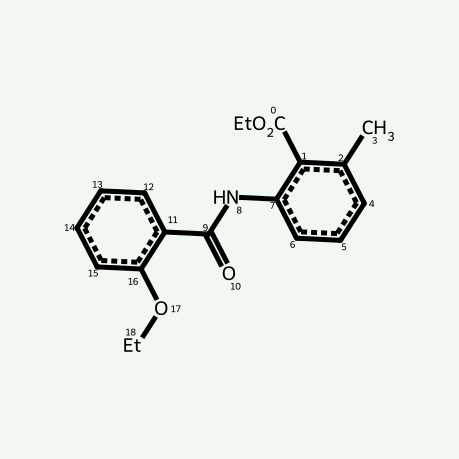 CCOC(=O)c1c(C)cccc1NC(=O)c1ccccc1OCC